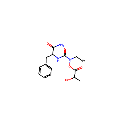 CC(C)CN(OC(=O)C(C)O)C(=O)NC(Cc1ccccc1)C(N)=O